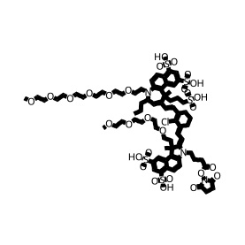 CCCC1C=C(/C=C/C2=C(Cl)C(=C/C=C3/N(CCCC(=O)ON4C(=O)CCC4=O)c4ccc5c(S(=O)(=O)O)cc(S(=O)(=O)O)cc5c4C3(C)CCOCCOCCOCCOC)/CCC2)C(C)(CCCS(=O)(=O)O)c2c(ccc3c(S(=O)(=O)O)cc(S(=O)(=O)O)cc23)N1CCOCCOCCOCCOCCOCCOC